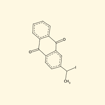 CC(I)c1ccc2c(c1)C(=O)c1ccccc1C2=O